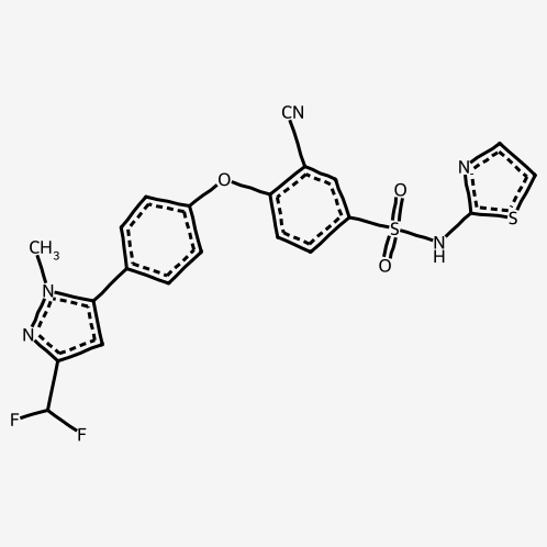 Cn1nc(C(F)F)cc1-c1ccc(Oc2ccc(S(=O)(=O)Nc3nccs3)cc2C#N)cc1